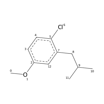 COc1ccc(Cl)c(CC(C)C)c1